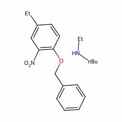 CCCCNCC.CCc1ccc(OCc2ccccc2)c([N+](=O)[O-])c1